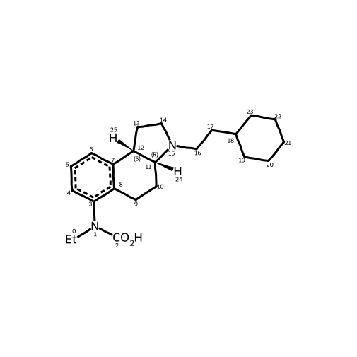 CCN(C(=O)O)c1cccc2c1CC[C@@H]1[C@H]2CCN1CCC1CCCCC1